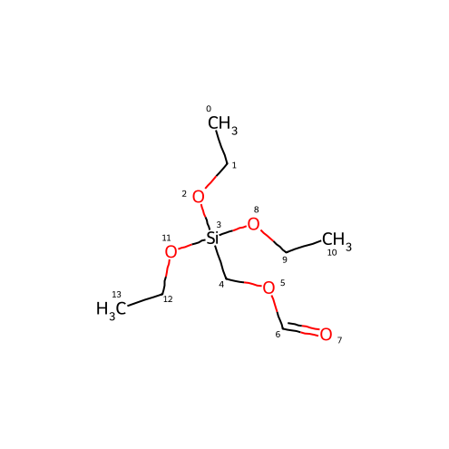 CCO[Si](COC=O)(OCC)OCC